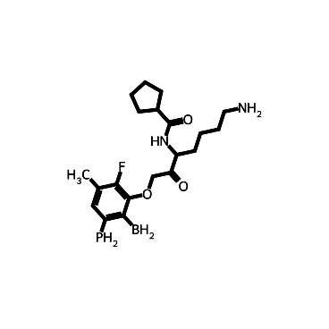 Bc1c(P)cc(C)c(F)c1OCC(=O)C(CCCCN)NC(=O)C1CCCC1